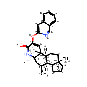 C[C@H]1C[C@H]2NC(=O)C(Oc3cc4ccccc4cn3)=C[C@]2(C)[C@H]2CC[C@]3(C)CCC[C@H]3[C@H]12